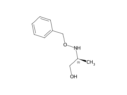 C[C@@H](CO)NOCc1ccccc1